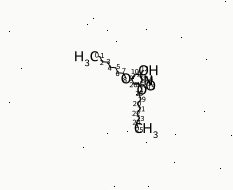 CCCCCCCCOc1cc(O)c(N=O)c(OCCCCCCCC)c1